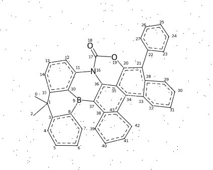 CC1(C)c2ccccc2B2c3c(cccc31)N1C(=O)Oc3c(-c4ccccc4)c4ccccc4c4c3c1c2c1ccccc14